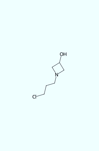 OC1CN(CCCCl)C1